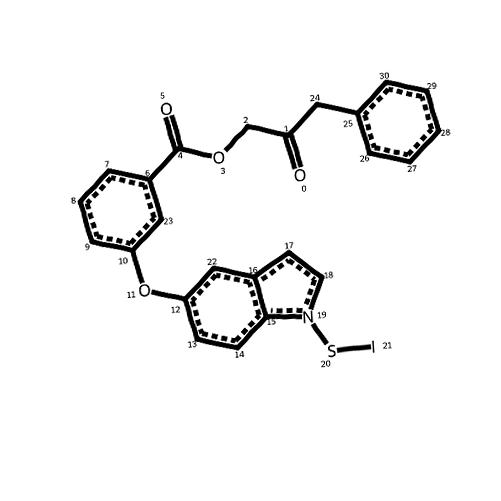 O=C(COC(=O)c1cccc(Oc2ccc3c(ccn3SI)c2)c1)Cc1ccccc1